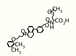 Cc1cccc(OCCCC(=O)N2CCCc3c(-c4cccc(COC(=O)NC(CC[S+](C)[O-])C(=O)O)c4)cccc32)c1C